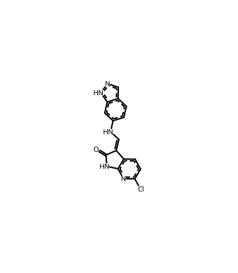 O=C1Nc2nc(Cl)ccc2C1=CNc1ccc2cn[nH]c2c1